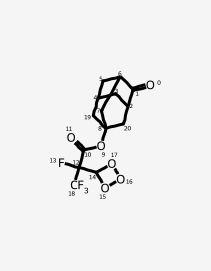 O=C1C2CC3CC1CC(OC(=O)C(F)(C1OOO1)C(F)(F)F)(C3)C2